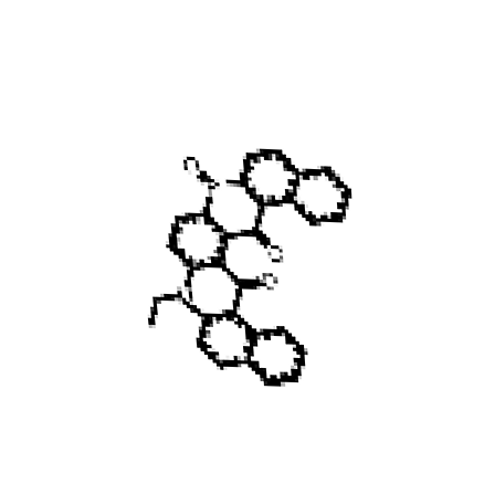 CCOc1ccc(P=O)c(C(=O)c2c(C)ccc3ccccc23)c1C(=O)c1c(C)ccc2ccccc12